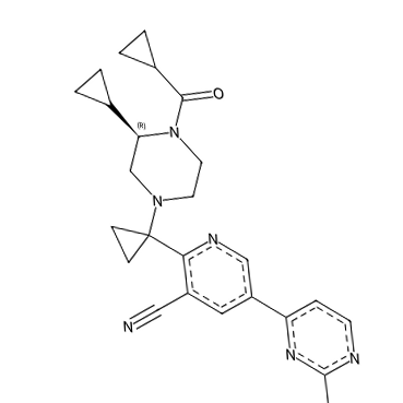 N#Cc1cc(-c2ccnc(N)n2)cnc1C1(N2CCN(C(=O)C3CC3)[C@H](C3CC3)C2)CC1